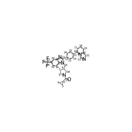 O=C(C1CC1)N1CC[C@@H](Cn2c(-c3ccc(-c4cccc5cncn45)cc3)nc3cc(C(F)(F)F)ccc32)C1